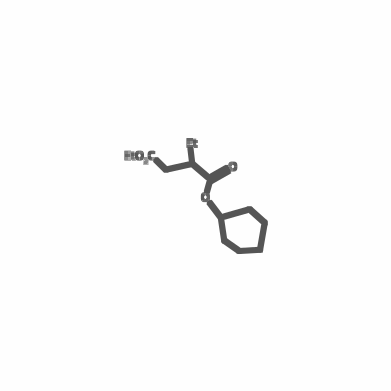 CCOC(=O)CC(CC)C(=O)OC1CCCCC1